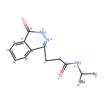 CC(=O)C(NC(=O)CCc1n[nH]c(=O)c2ccccc12)C(C)(C)C